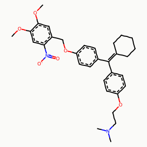 COc1cc(COc2ccc(C(=C3CCCCC3)c3ccc(OCCN(C)C)cc3)cc2)c([N+](=O)[O-])cc1OC